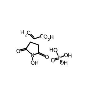 C=CC(=O)O.O=C1CCC(=O)N1O.O=P(O)(O)O